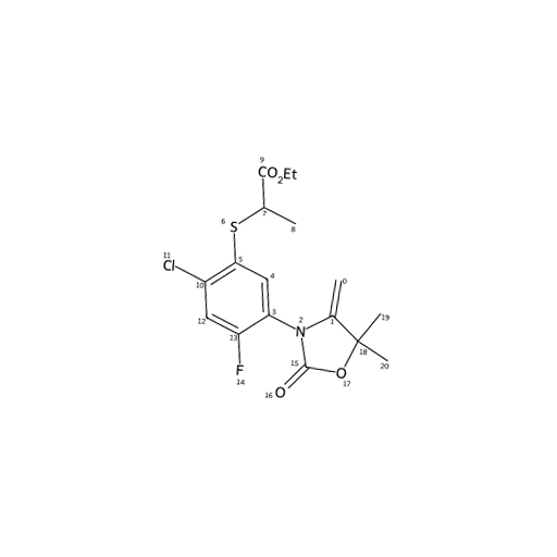 C=C1N(c2cc(SC(C)C(=O)OCC)c(Cl)cc2F)C(=O)OC1(C)C